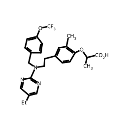 CCc1cnc(N(CCc2ccc(OC(C)C(=O)O)c(C)c2)Cc2ccc(OC(F)(F)F)cc2)nc1